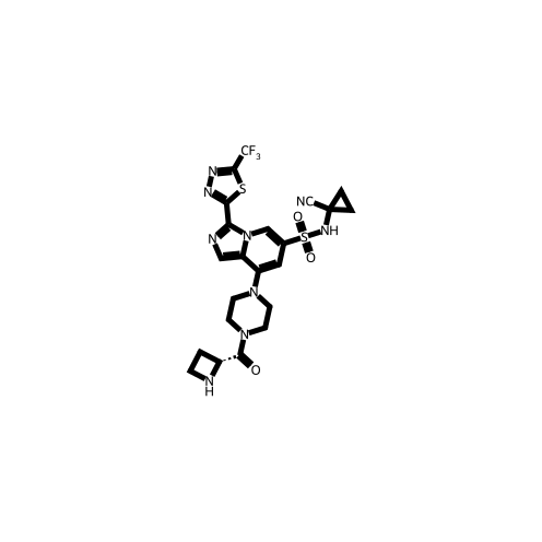 N#CC1(NS(=O)(=O)c2cc(N3CCN(C(=O)[C@H]4CCN4)CC3)c3cnc(-c4nnc(C(F)(F)F)s4)n3c2)CC1